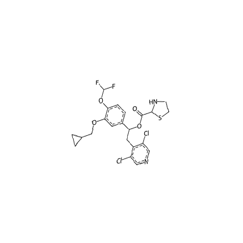 O=C(OC(Cc1c(Cl)cncc1Cl)c1ccc(OC(F)F)c(OCC2CC2)c1)C1NCCS1